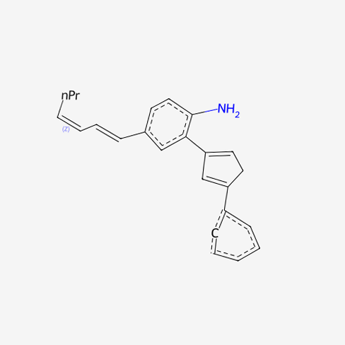 CCC/C=C\C=Cc1ccc(N)c(C2=CCC(c3ccccc3)=C2)c1